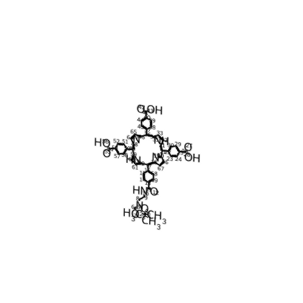 CC(C)(C)ON(C=O)CCNC(=O)c1ccc(-c2c3nc(c(-c4ccc(C(=O)O)cc4)c4ccc([nH]4)c(-c4ccc(C(=O)O)cc4)c4nc(c(-c5ccc(C(=O)O)cc5)c5ccc2[nH]5)C=C4)C=C3)cc1